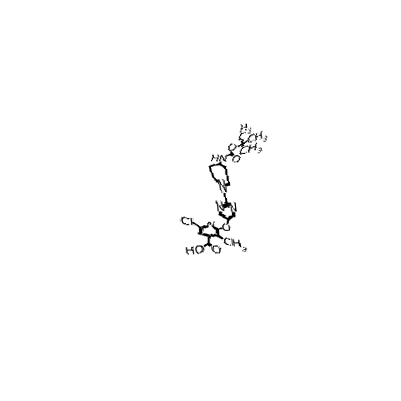 Cc1c(C(=O)O)cc(Cl)nc1Oc1cnc(N2CCC(NC(=O)OC(C)(C)C)CC2)nc1